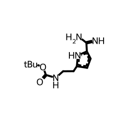 CC(C)(C)OC(=O)NCCc1ccc(C(=N)N)[nH]1